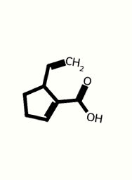 C=CC1CCC=C1C(=O)O